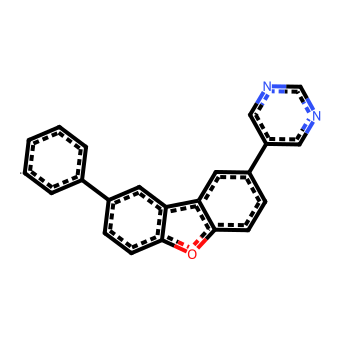 [c]1cccc(-c2ccc3oc4ccc(-c5cncnc5)cc4c3c2)c1